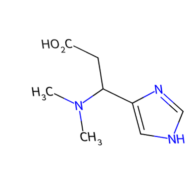 CN(C)C(CC(=O)O)c1c[nH]cn1